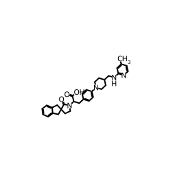 Cc1ccnc(NCC2CCN(c3ccc(CC(C(=O)O)N4CCC5(Cc6ccccc6C5)C4=O)cc3)CC2)c1